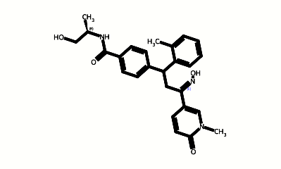 Cc1ccccc1C(C/C(=N\O)c1ccc(=O)n(C)c1)c1ccc(C(=O)N[C@H](C)CO)cc1